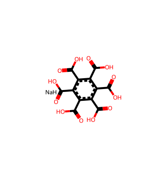 O=C(O)c1c(C(=O)O)c(C(=O)O)c(C(=O)O)c(C(=O)O)c1C(=O)O.[NaH]